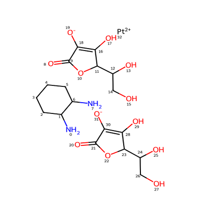 NC1CCCCC1N.O=C1OC(C(O)CO)C(O)=C1[O-].O=C1OC(C(O)CO)C(O)=C1[O-].[Pt+2]